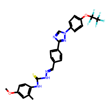 COc1ccc(NC(=S)N/N=C/c2ccc(-c3ncn(-c4ccc(OC(F)(F)C(F)(F)F)cc4)n3)cc2)c(C)c1